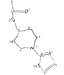 CC(=O)OC1CCN(c2nccs2)CC1